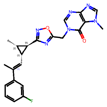 C/C(=C\[C@@H]1[C@H](C)[C@H]1c1noc(Cn2cnc3ncn(C)c3c2=O)n1)c1cccc(F)c1